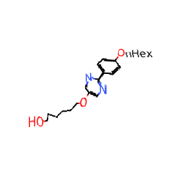 CCCCCCOc1ccc(-c2ncc(OCCCCCCO)cn2)cc1